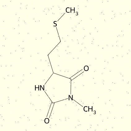 CSCCC1NC(=O)N(C)C1=O